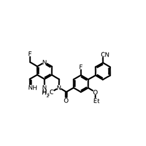 CCOc1cc(C(=O)N(C)Cc2cnc(CF)c(C=N)c2N)cc(F)c1-c1cccc(C#N)c1